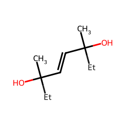 CCC(C)(O)C=CC(C)(O)CC